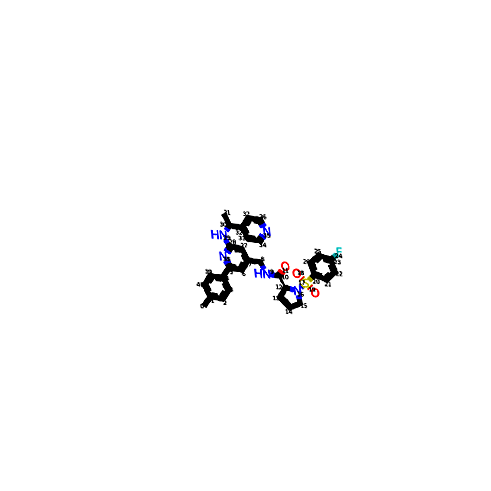 Cc1ccc(-c2cc(CNC(=O)[C@@H]3C=CCN3S(=O)(=O)c3ccc(F)cc3)cc(NC(C)c3ccncc3)n2)cc1